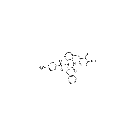 Cc1ccc(S(=O)(=O)N[C@@H](Cc2ccccc2)C(=O)n2c3ccc(N)c(=O)c-3cc3ccccc32)cc1